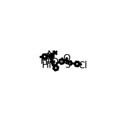 Cc1ccc(-n2nc(C(C)(C)C)cc2NC(=O)Nc2ccccc2CC2CCN(C(=O)c3cc(-c4ccc(Cl)cc4)cs3)CC2)cc1